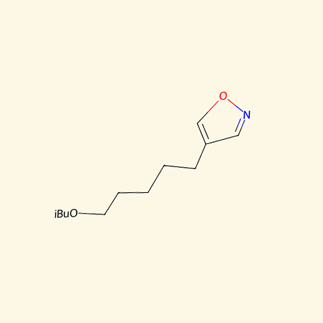 CC(C)COCCCCCc1cnoc1